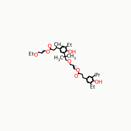 CCOC/C=C/OC(=O)CC(C)c1cc(CC)c(O)c(C(C)(C)COC/C=C/OC(=O)CCc2cc(CC)c(O)c(C(C)C)c2)c1